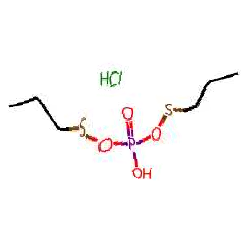 CCCSOP(=O)(O)OSCCC.Cl